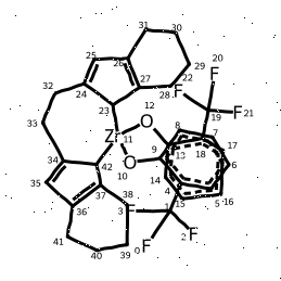 FC(F)(F)c1ccccc1[O][Zr]1([O]c2ccccc2C(F)(F)F)[CH]2C(=CC3=C2CCCC3)CCC2=CC3=C(CCCC3)[CH]21